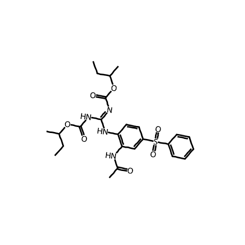 CCC(C)OC(=O)N=C(NC(=O)OC(C)CC)Nc1ccc(S(=O)(=O)c2ccccc2)cc1NC(C)=O